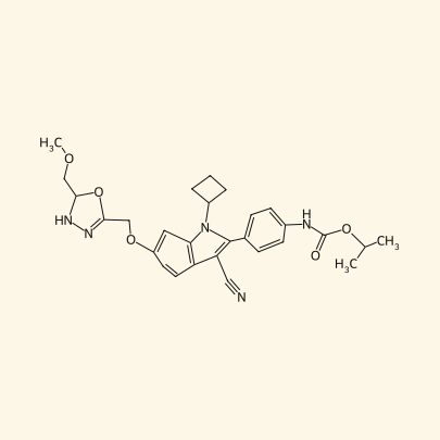 COCC1NN=C(COc2ccc3c(C#N)c(-c4ccc(NC(=O)OC(C)C)cc4)n(C4CCC4)c3c2)O1